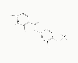 Nc1cc(NC(=O)c2ccc(Br)c(F)c2N)ccc1OC(F)(F)F